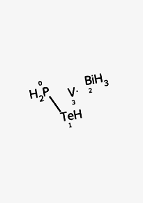 P[TeH].[BiH3].[V]